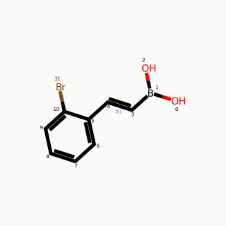 OB(O)/C=C/c1ccccc1Br